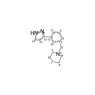 c1cc(CN2CCCCC2)cc(-c2cc[nH]n2)c1